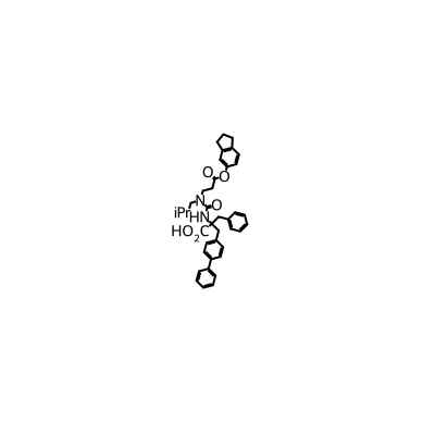 CC(C)CN(CCC(=O)Oc1ccc2c(c1)CCC2)C(=O)NC(Cc1ccccc1)(Cc1ccc(-c2ccccc2)cc1)C(=O)O